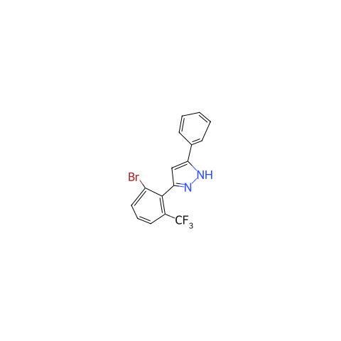 FC(F)(F)c1cccc(Br)c1-c1cc(-c2ccccc2)[nH]n1